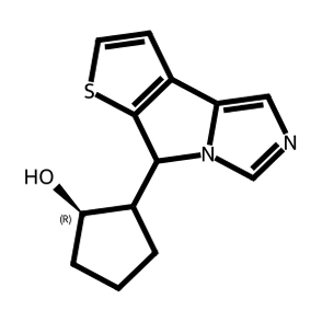 O[C@@H]1CCCC1C1c2sccc2-c2cncn21